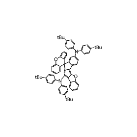 CC(C)(C)c1ccc(N(c2ccc(C(C)(C)C)cc2)c2ccc3c(c2)C2(c4ccccc4Oc4ccccc42)c2cc(N(c4ccc(C(C)(C)C)cc4)c4ccc(C(C)(C)C)cc4)c4c(oc5ccccc54)c2-3)cc1